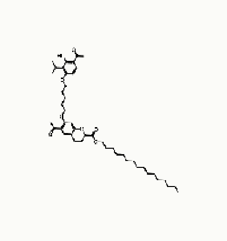 CCCCCCCCCCCCCCCCOC(=O)C1CCc2cc(C(C)=O)c(OCCCCCOc3ccc(C(C)=O)c(O)c3C(C)C)cc2O1